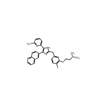 Cc1cccc(-c2[nH]c(Cc3ccc(F)c(OCCN(C)C)c3)nc2-c2ccc3ncccc3c2)n1